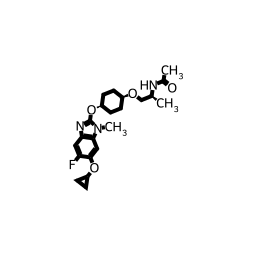 CC(=O)N[C@@H](C)CO[C@H]1CC[C@H](Oc2nc3cc(F)c(OC4CC4)cc3n2C)CC1